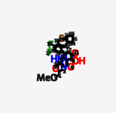 COCC1CN2C(=O)c3c(O)c(=O)cc(-c4cc(F)c(F)c5c4Cc4ccccc4SC5)n3NC2CO1